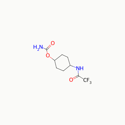 NC(=O)OC1CCC(NC(=O)C(F)(F)F)CC1